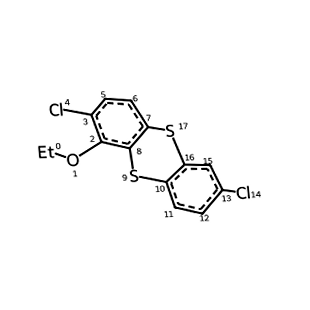 CCOc1c(Cl)ccc2c1Sc1ccc(Cl)cc1S2